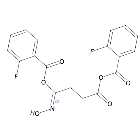 O=C(CC/C(=N/O)OC(=O)c1ccccc1F)OC(=O)c1ccccc1F